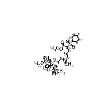 COC(=O)/C(=C\C=C\N(C)CCC[Si](C)(O[Si](C)(C)C)O[Si](C)(C)C)S(=O)(=O)c1ccccc1